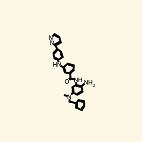 CN(Cc1ccccc1)c1ccc(N)c(NC(=O)c2cccc(Nc3ccc(-c4cccnn4)cc3)c2)c1